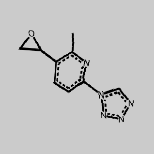 Cc1nc(-n2cnnn2)ccc1C1CO1